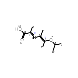 C/C(=N\C(C)=C(/C)OC(C)C)C(=O)O